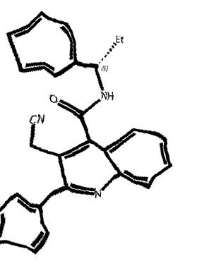 CC[C@H](NC(=O)c1c(CC#N)c(-c2ccccc2)nc2ccccc12)c1ccccc1